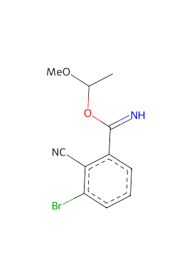 COC(C)OC(=N)c1cccc(Br)c1C#N